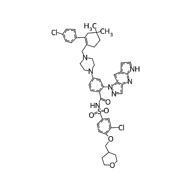 CC1(C)CCC(CN2CCN(c3ccc(C(=O)NS(=O)(=O)c4ccc(OCC5CCOCC5)c(Cl)c4)c(-n4ncc5nc6[nH]ccc6cc54)c3)CC2)=C(c2ccc(Cl)cc2)C1